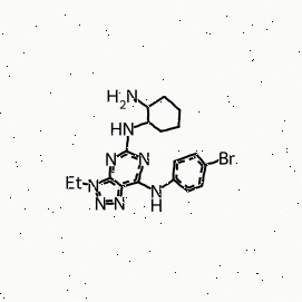 CCn1nnc2c(Nc3ccc(Br)cc3)nc(NC3CCCCC3N)nc21